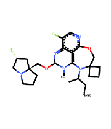 [2H]N1C2=c3c(ncc(F)c3=NC1OC[C@@]13CCCN1C[C@H](F)C3)OCC1(CCC1)N2C(C)CNC